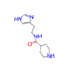 O=C(NCCc1c[nH]cn1)C1CCNCC1